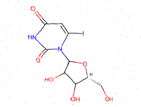 O=c1cc(I)n(C2O[C@H](CO)C(O)C2O)c(=O)[nH]1